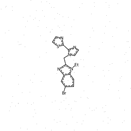 CCn1c(Cn2ccnc2-c2nccs2)nc2cc(Br)ccc21